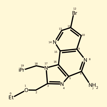 CCOCc1nc2c(N)nc3cc(Br)cnc3c2n1CC(C)C